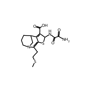 CSCCC1=C2SC(NC(=O)C(N)=O)C(C(=O)O)=C2C2CCCN1C2